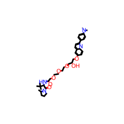 CC1CCCN1C(=O)C(NC(=O)COCCOCCOCC(O)COc1ccc2nc(-c3ccc(N(C)C)cc3)ccc2c1)C(C)(C)C